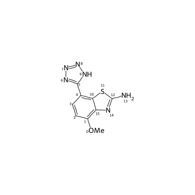 COc1ccc(-c2nnn[nH]2)c2sc(N)nc12